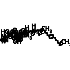 CCC1(CCCCc2ccc(CCCCC(C)(C)CC(=O)CCNC(=O)CCNC(=O)C(O)C(C)(C)COP(=O)(O)OP(=O)(O)OCC3OC(n4cnc5c(N)ncnc54)C(O)C3OP(=O)(O)O)cc2)CC1